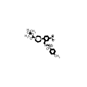 Cc1ccc(S(=O)(=O)N/N=C\c2cc([N+](=O)[O-])ccc2N2CCCN(C(=O)OC(C)(C)C)CC2)cc1